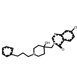 O=c1c2ccc(Cl)cc2ncn1CC1(O)CCN(CCCc2ccccc2)CC1